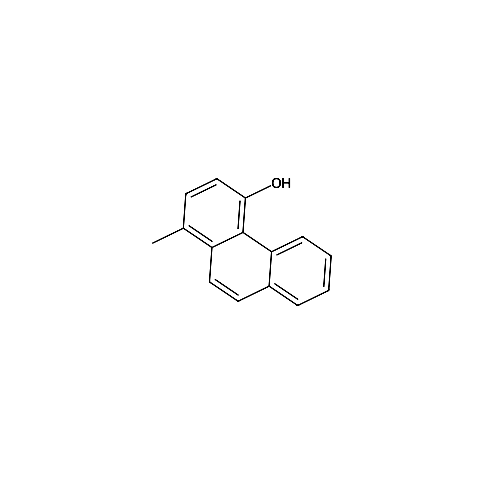 Cc1ccc(O)c2c1ccc1ccccc12